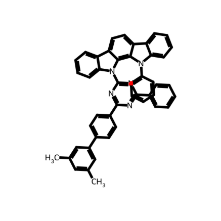 Cc1cc(C)cc(-c2ccc(-c3nc(-c4ccccc4)nc(-n4c5ccccc5c5ccc6c7ccccc7n(-c7ccccc7)c6c54)n3)cc2)c1